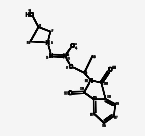 CC(O[N+]([O-])=NN1CC(O)C1)N1C(=O)c2ccccc2C1=O